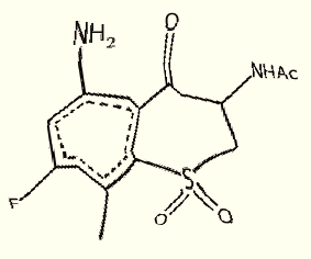 CC(=O)NC1CS(=O)(=O)c2c(C)c(F)cc(N)c2C1=O